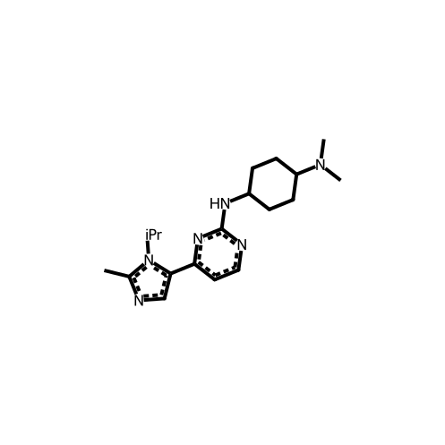 Cc1ncc(-c2ccnc(NC3CCC(N(C)C)CC3)n2)n1C(C)C